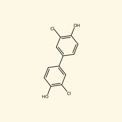 Oc1ccc(-c2ccc(O)c(Cl)c2)cc1Cl